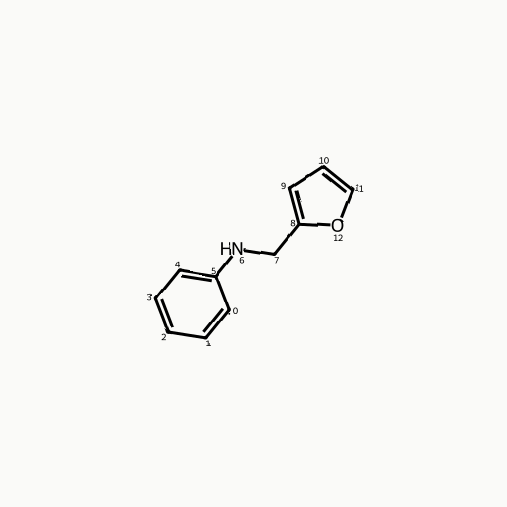 [c]1ccccc1NCc1ccco1